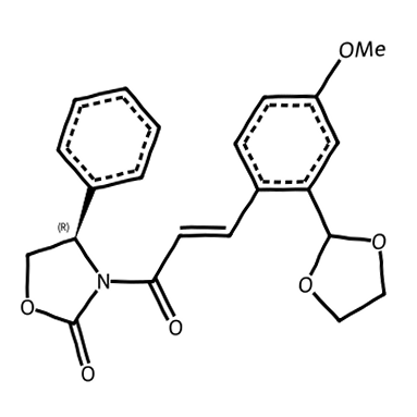 COc1ccc(C=CC(=O)N2C(=O)OC[C@H]2c2ccccc2)c(C2OCCO2)c1